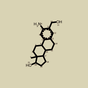 CC12CCC3c4cc(N)c(CO)cc4CCC3C1CCC2O